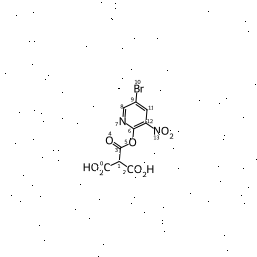 O=C(O)C(C(=O)O)C(=O)Oc1ncc(Br)cc1[N+](=O)[O-]